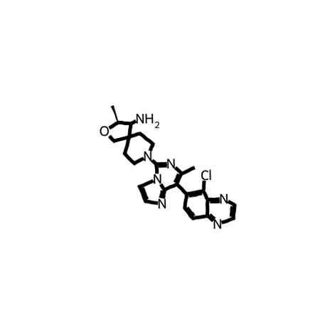 Cc1nc(N2CCC3(CC2)CO[C@@H](C)C3N)n2ccnc2c1-c1ccc2nccnc2c1Cl